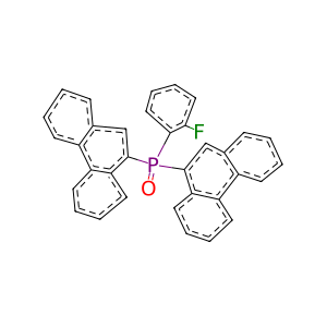 O=P(c1ccccc1F)(c1cc2ccccc2c2ccccc12)c1cc2ccccc2c2ccccc12